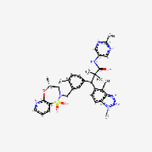 CC[C@@H]1CN(Cc2cc(C(c3ccc4c(nnn4CC)c3C)C(C)(C)C(=O)Nc3cnc(SC)nc3)ccc2C)S(=O)(=O)c2cccnc2O1